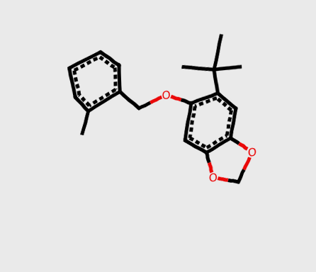 Cc1ccccc1COc1cc2c(cc1C(C)(C)C)OCO2